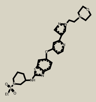 CCS(=O)(=O)N1CCCC(Nc2nc3ccc(Oc4ccnc(-c5cnn(CCN6CCOCC6)c5)c4)cc3s2)C1